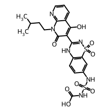 CC(C)CCn1c(=O)c(C2=NS(=O)(=O)c3cc(NS(=O)(=O)NC(=O)O)ccc3N2)c(O)c2cccnc21